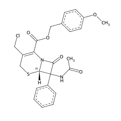 COc1ccc(COC(=O)C2=C(CCl)CS[C@@H]3N2C(=O)C3(NC(C)=O)c2ccccc2)cc1